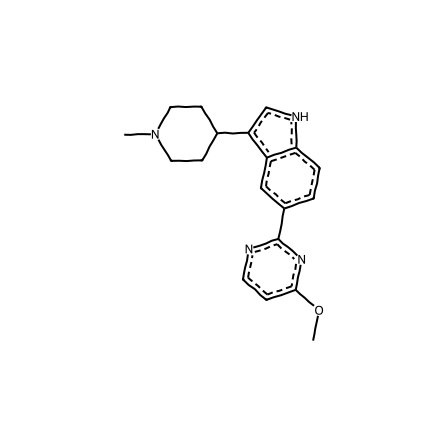 COc1ccnc(-c2ccc3[nH]cc(C4CCN(C)CC4)c3c2)n1